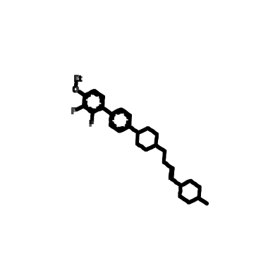 CCOc1ccc(-c2ccc(C3CCC(CC/C=C/C4CCC(C)CC4)CC3)cc2)c(F)c1F